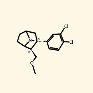 COC[C@H]1C2CCC(C[C@@H]1c1ccc(Cl)c(Cl)c1)N2C